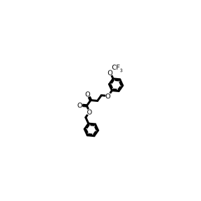 O=C(CCOc1cccc(OC(F)(F)F)c1)C(=O)OCc1ccccc1